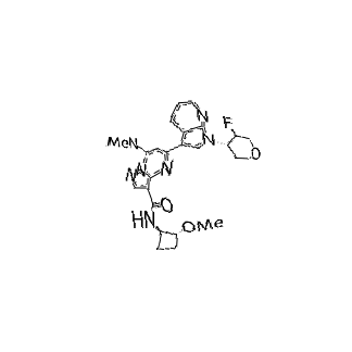 CNc1cc(-c2cn([C@H]3CCOC[C@@H]3F)c3ncccc23)nc2c(C(=O)N[C@@H]3CC[C@H]3OC)cnn12